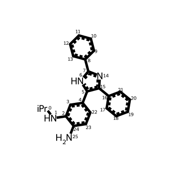 CC(C)Nc1cc(-c2[nH]c(-c3ccccc3)nc2-c2ccccc2)ccc1N